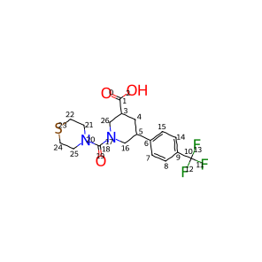 O=C(O)C1CC(c2ccc(C(F)(F)F)cc2)CN(C(=O)N2CCSCC2)C1